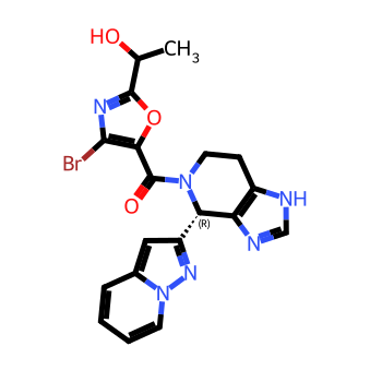 CC(O)c1nc(Br)c(C(=O)N2CCc3[nH]cnc3[C@@H]2c2cc3ccccn3n2)o1